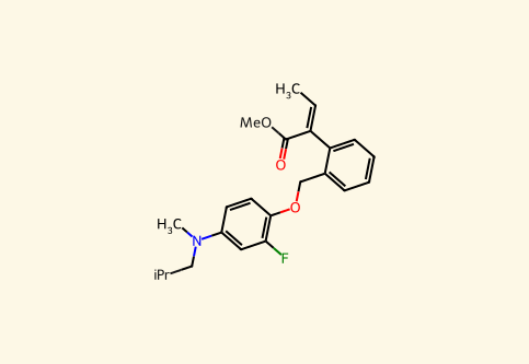 CC=C(C(=O)OC)c1ccccc1COc1ccc(N(C)CC(C)C)cc1F